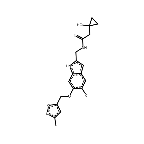 Cc1cc(COc2cc3[nH]c(CNC(=O)CC4(O)CC4)cc3cc2Cl)on1